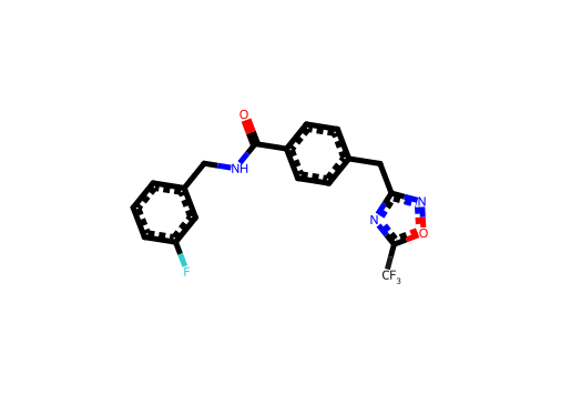 O=C(NCc1cccc(F)c1)c1ccc(Cc2noc(C(F)(F)F)n2)cc1